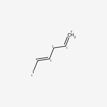 C=CCC=CI